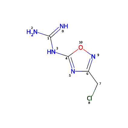 N=C(N)Nc1nc(CCl)no1